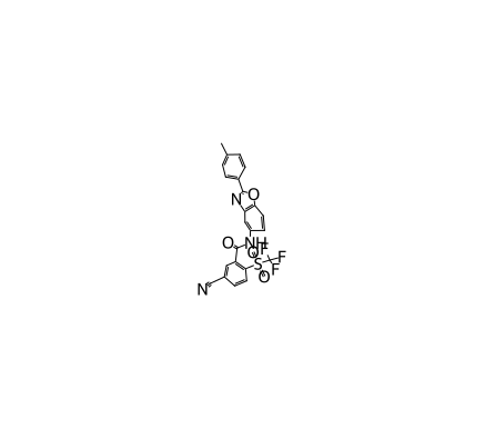 Cc1ccc(-c2nc3cc(NC(=O)c4cc(C#N)ccc4S(=O)(=O)C(F)(F)F)ccc3o2)cc1